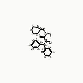 C=C(N(C)CC1CCCCC1)N(C)C(c1ccccc1)c1ccccc1